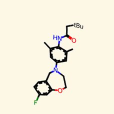 Cc1cc(N2CCOc3cc(F)ccc3C2)cc(C)c1NC(=O)CC(C)(C)C